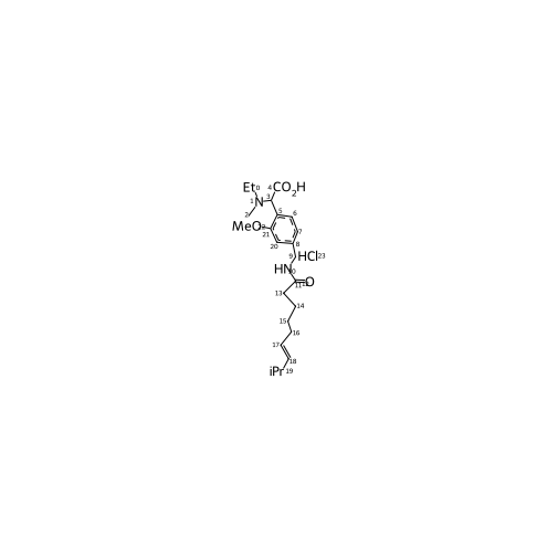 CCN(C)C(C(=O)O)c1ccc(CNC(=O)CCCCC=CC(C)C)cc1OC.Cl